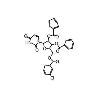 O=C(OC[C@H]1O[C@@H](n2ccc(=O)[nH]c2=O)C(OC(=O)c2ccccc2)C1OC(=O)c1ccccc1)c1cccc(Cl)c1